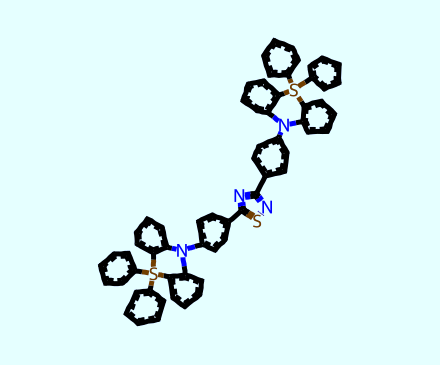 c1ccc(S2(c3ccccc3)c3ccccc3N(c3ccc(-c4nsc(-c5ccc(N6c7ccccc7S(c7ccccc7)(c7ccccc7)c7ccccc76)cc5)n4)cc3)c3ccccc32)cc1